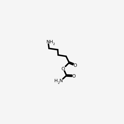 NCCCCC(=O)OC(N)=O